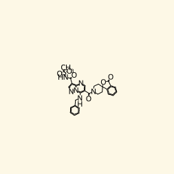 CS(=O)(=O)NC(=O)c1cnn2c(NCc3ccccc3)c(C(=O)N3CCC4(CC3)OC(=O)c3ccccc34)cnc12